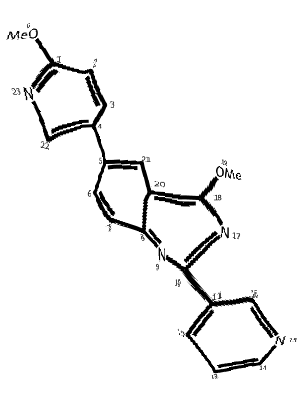 COc1ccc(-c2ccc3nc(-c4cccnc4)nc(OC)c3c2)cn1